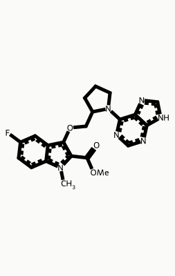 COC(=O)c1c(OCC2CCCN2c2ncnc3[nH]cnc23)c2cc(F)ccc2n1C